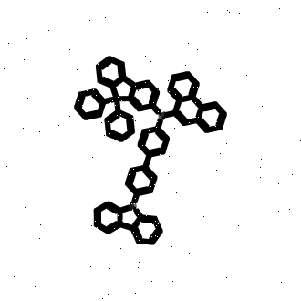 c1ccc(C2(c3ccccc3)c3ccccc3-c3ccc(N(c4ccc(-c5ccc(-n6c7ccccc7c7ccccc76)cc5)cc4)c4cc5ccccc5c5ccccc45)cc32)cc1